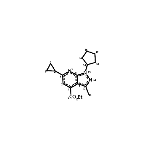 CCOC(=O)c1cc(C2CC2)nc2c1c(C)nn2C1CCCC1